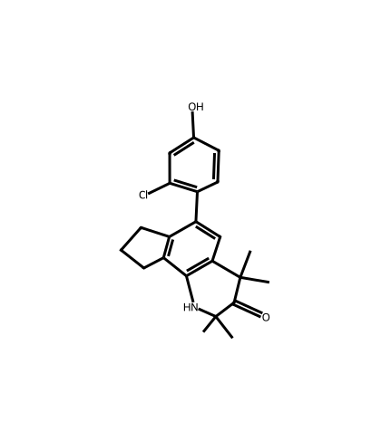 CC1(C)Nc2c(cc(-c3ccc(O)cc3Cl)c3c2CCC3)C(C)(C)C1=O